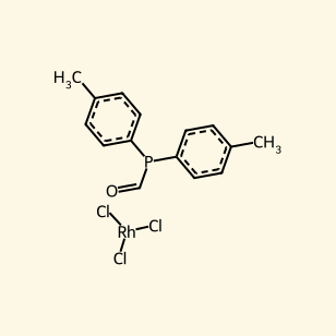 Cc1ccc(P(C=O)c2ccc(C)cc2)cc1.[Cl][Rh]([Cl])[Cl]